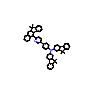 CC1(C)c2ccccc2-c2ccc(N(c3ccc(-c4ccc(-c5c6c(cc7ccccc57)C(C)(C)c5ccccc5-6)nc4)cc3)c3ccc4c(c3)C(C)(C)c3ccccc3-4)cc21